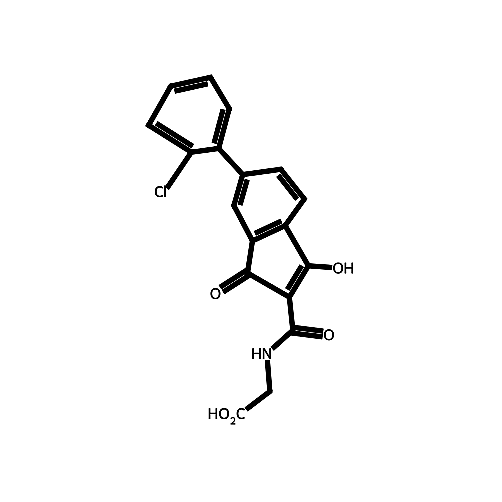 O=C(O)CNC(=O)C1=C(O)c2ccc(-c3ccccc3Cl)cc2C1=O